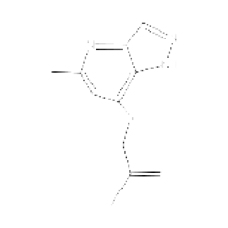 C=C(C)CNc1cc(C)nc2cn[nH]c12